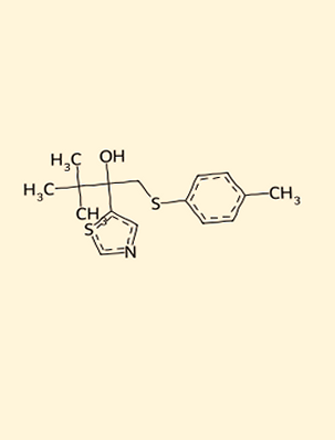 Cc1ccc(SCC(O)(c2cncs2)C(C)(C)C)cc1